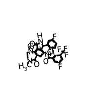 CN1CCN(C)c2c(cc(NC(=O)c3cc(F)cc(C(F)(F)F)c3)c3c2C(=O)NC3c2cc(F)ccc2Cl)C1=O